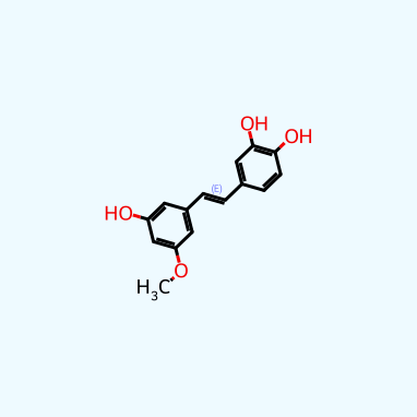 COc1cc(O)cc(/C=C/c2ccc(O)c(O)c2)c1